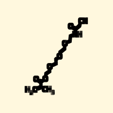 C=C(C)C(=O)OCCOCCOCCOCCNC(=O)CC#N